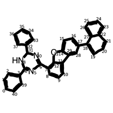 c1ccc(C2=NC(c3cccc4c3oc3ccc(-c5cccc6ccccc56)cc34)=NC(c3ccccc3)N2)cc1